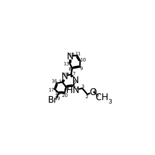 COCCNc1nc(-c2cccnc2)nc2ccc(Br)cc12